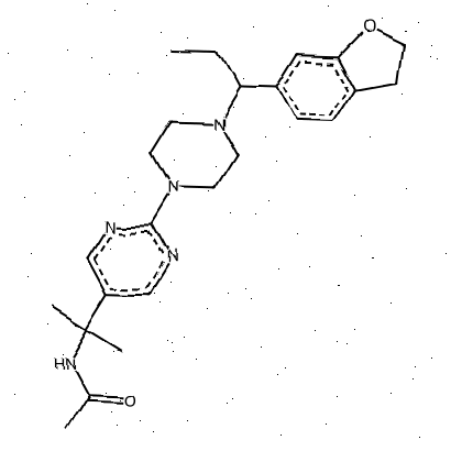 CCC(c1ccc2c(c1)OCC2)N1CCN(c2ncc(C(C)(C)NC(C)=O)cn2)CC1